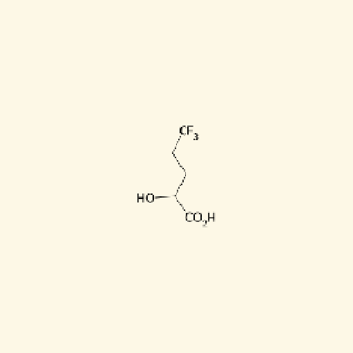 O=C(O)C(O)CCC(F)(F)F